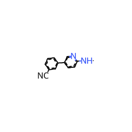 N#Cc1cccc(-c2ccc([NH])nc2)c1